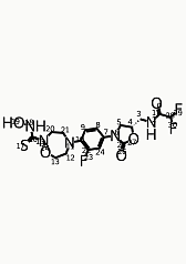 O=C(NC[C@H]1CN(c2ccc(N3CCON(C(=S)NO)CC3)c(F)c2)C(=O)O1)C(F)F